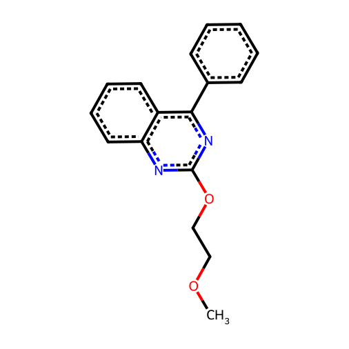 COCCOc1nc(-c2ccccc2)c2ccccc2n1